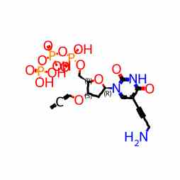 C=C=CO[C@H]1C[C@H](n2cc(C#CCN)c(=O)[nH]c2=O)O[C@@H]1COP(=O)(O)OP(=O)(O)OP(=O)(O)O